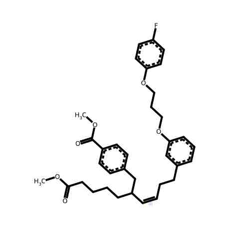 COC(=O)CCCCC(/C=C\CCc1cccc(OCCCOc2ccc(F)cc2)c1)Cc1ccc(C(=O)OC)cc1